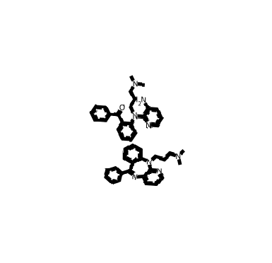 CN(C)CCCN(c1ccccc1C(=O)c1ccccc1)c1ncccc1N.CN(C)CCCN1c2ccccc2C(c2ccccc2)=Nc2cccnc21